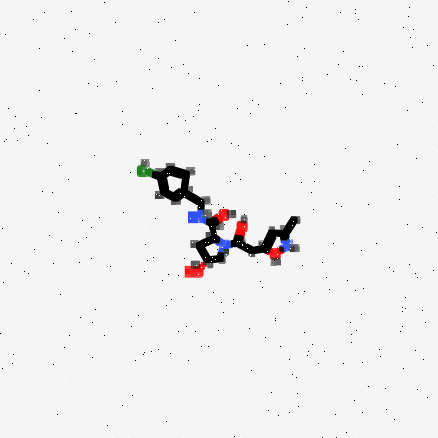 Cc1cc(CC(=O)N2C[C@H](O)C[C@H]2C(=O)NCc2ccc(Cl)cc2)on1